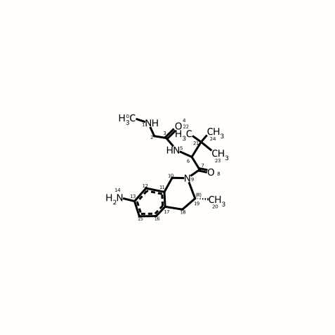 CNCC(=O)NC(C(=O)N1Cc2cc(N)ccc2C[C@H]1C)C(C)(C)C